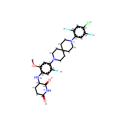 COc1cc(N2CCC3(CCN(c4cc(F)c(Cl)cc4F)CC3)CC2)c(F)cc1NC1CCC(=O)NC1=O